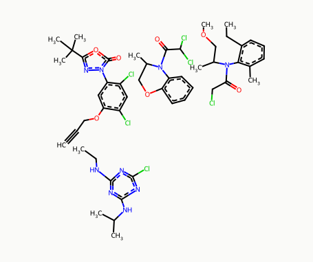 C#CCOc1cc(-n2nc(C(C)(C)C)oc2=O)c(Cl)cc1Cl.CC1COc2ccccc2N1C(=O)C(Cl)Cl.CCNc1nc(Cl)nc(NC(C)C)n1.CCc1cccc(C)c1N(C(=O)CCl)C(C)COC